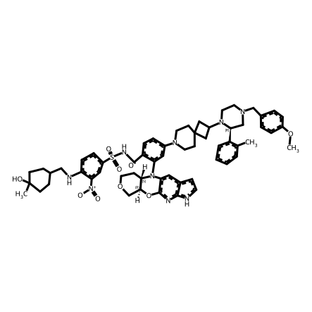 COc1ccc(CN2CCN(C3CC4(CCN(c5ccc(C(=O)NS(=O)(=O)c6ccc(NCC7CCC(C)(O)CC7)c([N+](=O)[O-])c6)c(N6c7cc8cc[nH]c8nc7O[C@H]7COCC[C@@H]76)c5)CC4)C3)[C@H](c3ccccc3C)C2)cc1